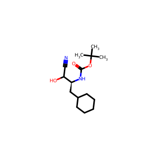 CC(C)(C)OC(=O)N[C@@H](CC1CCCCC1)C(O)C#N